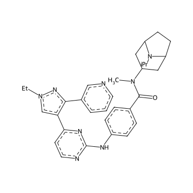 CCn1cc(-c2ccnc(Nc3ccc(C(=O)N(C)C4CC5CCC(C4)N5C(C)C)cc3)n2)c(-c2cccnc2)n1